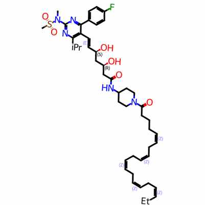 CC/C=C\C/C=C\C/C=C\C/C=C\C/C=C\CCCC(=O)N1CCC(NC(=O)C[C@H](O)C[C@H](O)/C=C/c2c(-c3ccc(F)cc3)nc(N(C)S(C)(=O)=O)nc2C(C)C)CC1